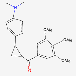 COc1cc(C(=O)C2CC2c2ccc(N(C)C)cc2)cc(OC)c1OC